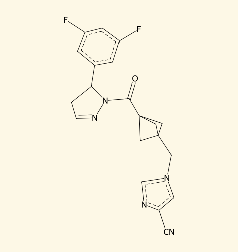 N#Cc1cn(CC23CC(C(=O)N4N=CCC4c4cc(F)cc(F)c4)(C2)C3)cn1